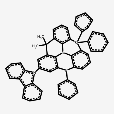 CC1(C)c2cc(-n3c4ccccc4c4ccccc43)cc3c2N2c4c(cccc4[Si](c4ccccc4)(c4ccccc4)c4cccc1c42)B3c1ccccc1